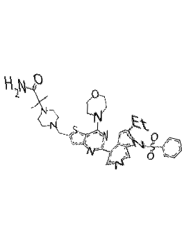 CCc1cc2c(-c3nc(N4CCOCC4)c4sc(CN5CCN(C(C)(C)C(N)=O)CC5)cc4n3)cncc2n1S(=O)(=O)c1ccccc1